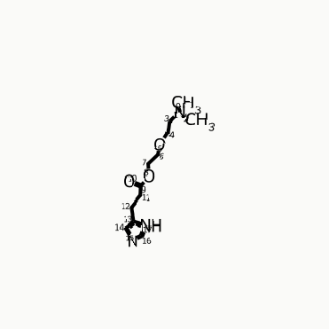 CN(C)CCOCCOC(=O)CCc1cnc[nH]1